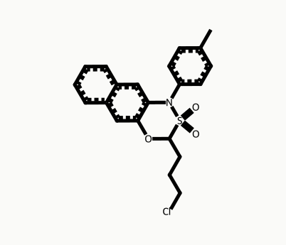 Cc1ccc(N2c3cc4ccccc4cc3OC(CCCCl)S2(=O)=O)cc1